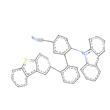 N#Cc1ccc(-n2c3ccccc3c3ccccc32)c(-c2ccccc2-c2ccc3sc4ccccc4c3c2)c1